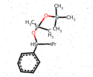 CC(C)[SiH](O[Si](C)(C)O[Si](C)(C)C)c1ccccc1